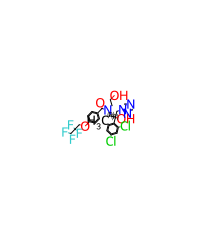 C[C@@H](N(CCO)C(=O)c1ccc(OCC(F)(F)C(F)F)cc1)[C@](O)(Cn1cncn1)c1ccc(Cl)cc1Cl